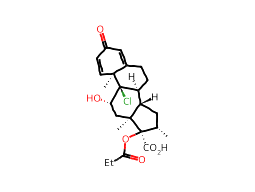 CCC(=O)O[C@]1(C(=O)O)[C@@H](C)C[C@H]2[C@@H]3CCC4=CC(=O)C=C[C@]4(C)[C@@]3(Cl)[C@@H](O)C[C@@]21C